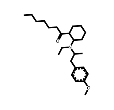 CCCCCCC(=O)C1CCCCC1N(CC)C(C)Cc1ccc(OC)cc1